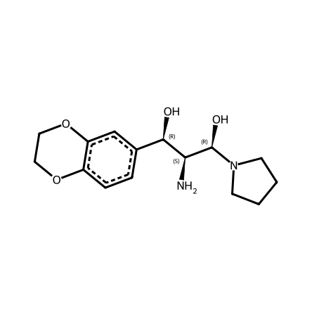 N[C@@H]([C@H](O)c1ccc2c(c1)OCCO2)[C@@H](O)N1CCCC1